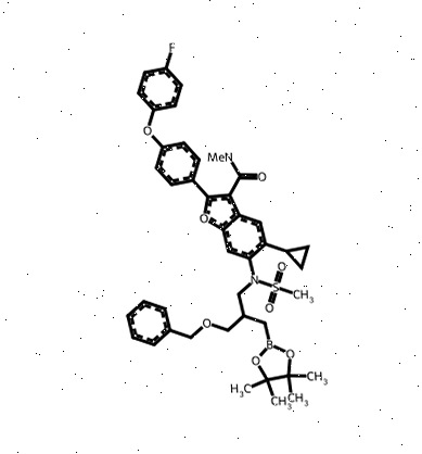 CNC(=O)c1c(-c2ccc(Oc3ccc(F)cc3)cc2)oc2cc(N(CC(COCc3ccccc3)CB3OC(C)(C)C(C)(C)O3)S(C)(=O)=O)c(C3CC3)cc12